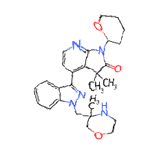 CC1(Cn2nc(-c3ccnc4c3C(C)(C)C(=O)N4C3CCCCO3)c3ccccc32)COCCN1